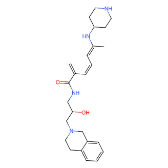 C=C(/C=C\C=C(/C)NC1CCNCC1)C(=O)NCC(O)CN1CCc2ccccc2C1